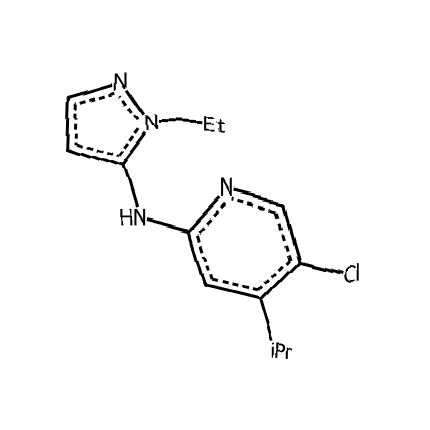 CCn1nccc1Nc1cc(C(C)C)c(Cl)cn1